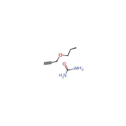 C#CCOCCC.NC(N)=O